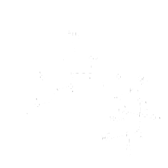 BC1CC(OC(=O)COC)C(COP(=O)(O)OP(=O)(O)OP(=O)(O)O)O1